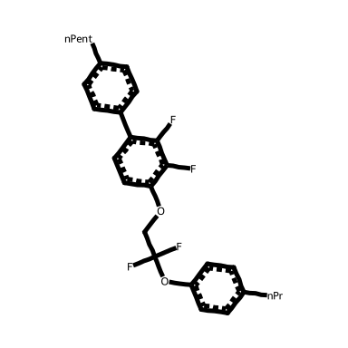 CCCCCc1ccc(-c2ccc(OCC(F)(F)Oc3ccc(CCC)cc3)c(F)c2F)cc1